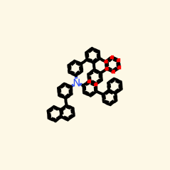 c1ccc(-c2ccccc2-c2c(-c3ccccc3)cccc2-c2cccc(N(c3ccc(-c4cccc5ccccc45)cc3)c3cccc(-c4cccc5ccccc45)c3)c2)cc1